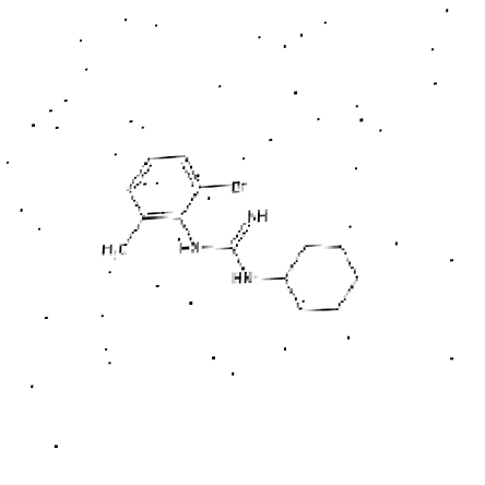 Cc1cccc(Br)c1NC(=N)NC1CCCCC1